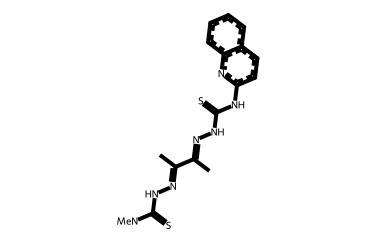 CNC(=S)N/N=C(C)/C(C)=N/NC(=S)Nc1ccc2ccccc2n1